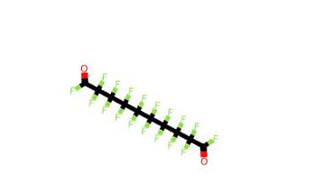 O=C(F)C(F)(F)C(F)(F)C(F)(F)C(F)(F)C(F)(F)C(F)(F)C(F)(F)C(F)(F)C(=O)F